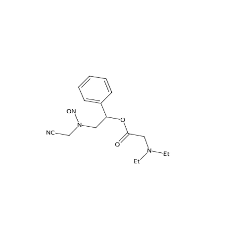 CCN(CC)CC(=O)OC(CN(CC#N)N=O)c1ccccc1